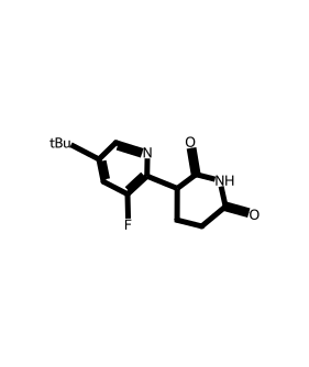 CC(C)(C)c1cnc(C2CCC(=O)NC2=O)c(F)c1